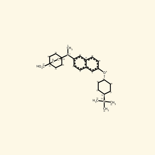 CN(c1ccc2cc(O[C@H]3CC[C@H]([Si](C)(C)C)CC3)ccc2c1)C12CCC(C(=O)O)(CC1)CC2